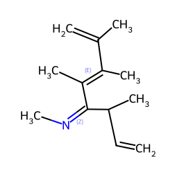 C=CC(C)C(=N/C)/C(C)=C(\C)C(=C)C